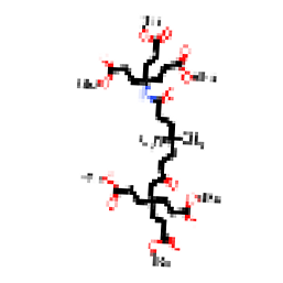 CC(C)(C)OC(=O)CCC(CCC(=O)OC(C)(C)C)(CCC(=O)OC(C)(C)C)CC(=O)CCC(C)(CCC(=O)NC(CCC(=O)OC(C)(C)C)(CCC(=O)OC(C)(C)C)CCC(=O)OC(C)(C)C)[N+](=O)[O-]